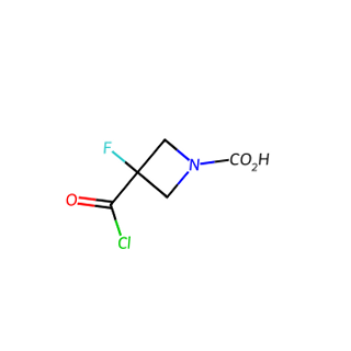 O=C(O)N1CC(F)(C(=O)Cl)C1